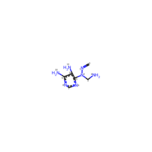 C=NN(CN)c1ncnc(N)c1N